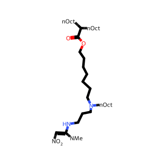 CCCCCCCCC(CCCCCCCC)C(=O)OCCCCCCCN(CCCCCCCC)CCCN/C(=C/[N+](=O)[O-])NC